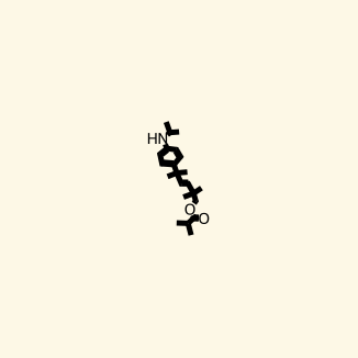 CC(C)Nc1ccc(C(C)(C)/C=C/C(C)(C)COC(=O)C(C)C)cc1